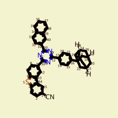 N#Cc1ccc2sc3ccc(-c4nc(-c5ccc(C67C[C@H]8C[C@H](C6)C[C@@H](C7)C8)cc5)nc(-c5ccc6ccccc6c5)n4)cc3c2c1